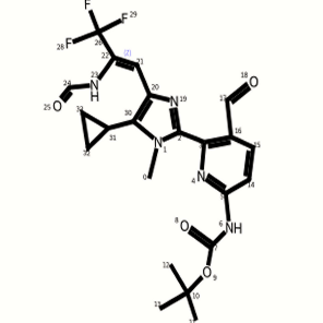 Cn1c(-c2nc(NC(=O)OC(C)(C)C)ccc2C=O)nc(/C=C(\NC=O)C(F)(F)F)c1C1CC1